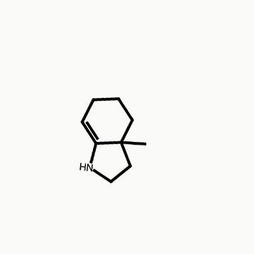 CC12CCCC=C1NCC2